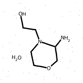 NC1COCCN1CCO.O